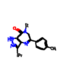 CCN1CC(c2ccc(C#N)cc2)=Nc2c(C(C)C)n[nH]c2C1=O